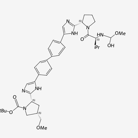 COC[C@H]1C[C@@H](c2ncc(-c3ccc(-c4ccc(-c5cnc([C@@H]6CCCN6C(=O)[C@@H](NC(O)OC)C(C)C)[nH]5)cc4)cc3)[nH]2)N(C(=O)OC(C)(C)C)C1